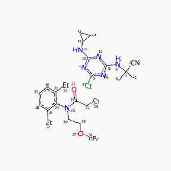 CC(C)(C#N)Nc1nc(Cl)nc(NC2CC2)n1.CCCOCCN(C(=O)CCl)c1c(CC)cccc1CC